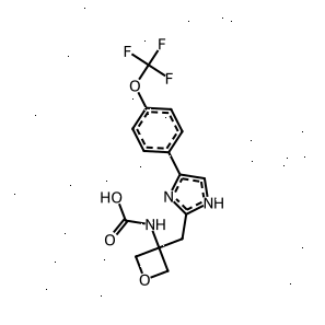 O=C(O)NC1(Cc2nc(-c3ccc(OC(F)(F)F)cc3)c[nH]2)COC1